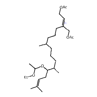 CCOC(C)OC(CC=C(C)C)C(C)CCCC(C)CCC/C(=C\COC(C)=O)COC(C)=O